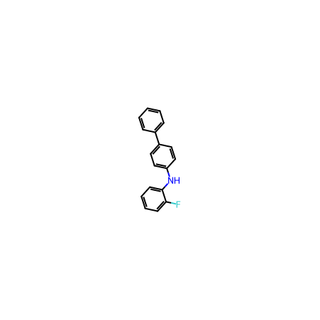 Fc1ccccc1Nc1ccc(-c2ccccc2)cc1